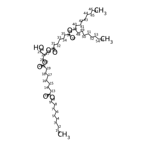 CCCCCCCCCCOC(=O)CCCCCCCC(=O)OCC(CO)COC(=O)CCCCCC(=O)OC(CCCCCCCC)CCCCCCCC